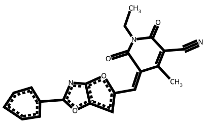 CCN1C(=O)C(C#N)=C(C)/C(=C/c2cc3oc(-c4ccccc4)nc3o2)C1=O